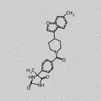 Cc1ccc2c(C3CCN(C(=O)c4ccc(C5(C)NC(=O)NC5=O)cc4)CC3)coc2c1